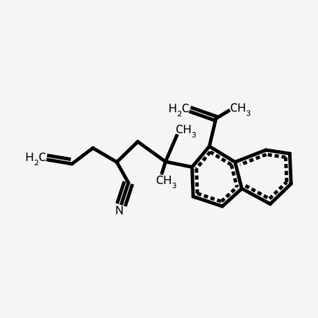 C=CCC(C#N)CC(C)(C)c1ccc2ccccc2c1C(=C)C